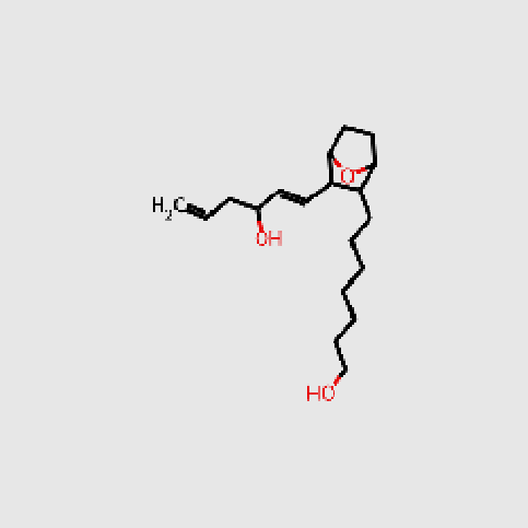 C=CCC(O)C=CC1C2CCC(O2)C1CCCCCCCO